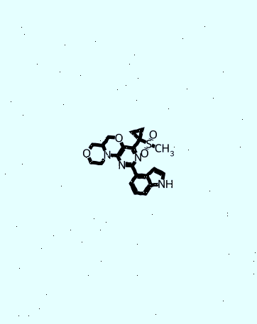 CS(=O)(=O)C1(c2nc(-c3cccc4[nH]ccc34)nc3c2OCC2COCCN32)CC1